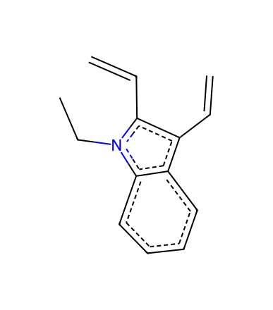 C=Cc1c(C=C)n(CC)c2ccccc12